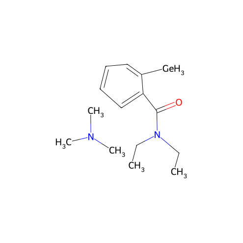 CCN(CC)C(=O)c1cccc[c]1[GeH3].CN(C)C